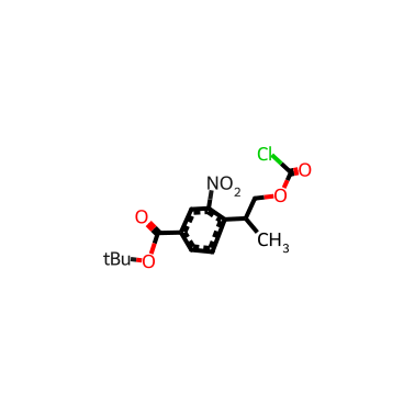 CC(COC(=O)Cl)c1ccc(C(=O)OC(C)(C)C)cc1[N+](=O)[O-]